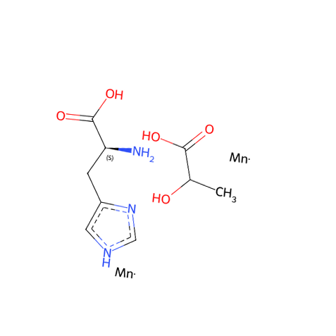 CC(O)C(=O)O.N[C@@H](Cc1c[nH]cn1)C(=O)O.[Mn].[Mn]